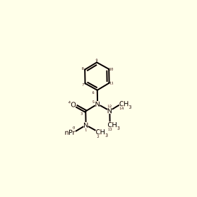 CCCN(C)C(=O)N(c1ccccc1)N(C)C